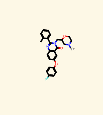 Cc1ccccc1-c1nc2ccc(Oc3ccc(F)cc3)cc2c(=O)n1CC1CN(C(C)C)CCO1